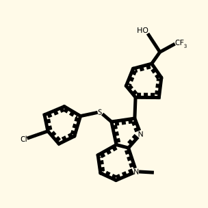 Cn1cccc2c(Sc3ccc(Cl)cc3)c(-c3ccc(C(O)C(F)(F)F)cc3)nc1-2